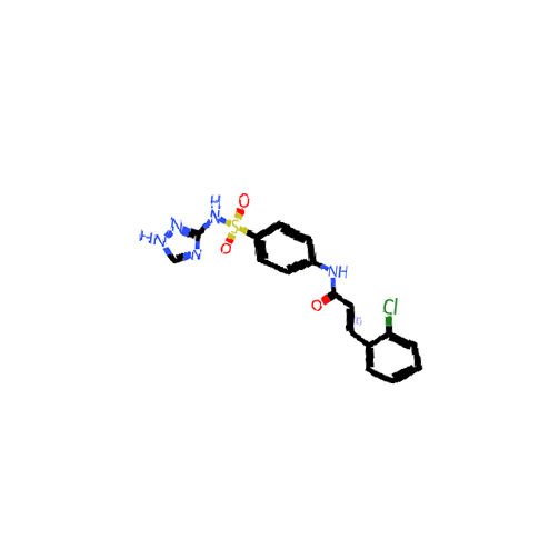 O=C(/C=C/c1ccccc1Cl)Nc1ccc(S(=O)(=O)Nc2nc[nH]n2)cc1